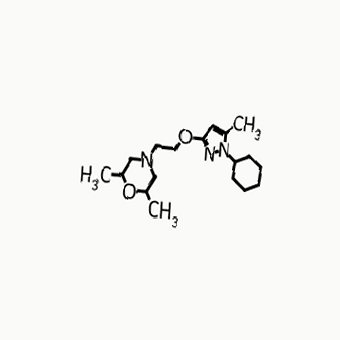 Cc1cc(OCCN2CC(C)OC(C)C2)nn1C1CCCCC1